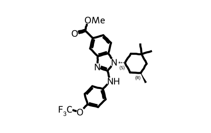 COC(=O)c1ccc2c(c1)nc(Nc1ccc(OC(F)(F)F)cc1)n2[C@H]1C[C@H](C)CC(C)(C)C1